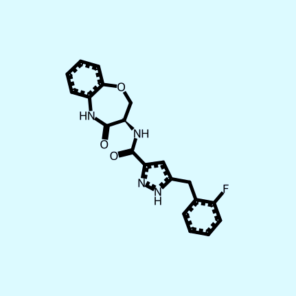 O=C(N[C@@H]1COc2ccccc2NC1=O)c1cc(Cc2ccccc2F)[nH]n1